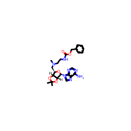 CN(CCNC(=O)OCc1ccccc1)C[C@H]1O[C@@H](n2cnc3c(N)ncnc32)[C@@H]2OC(C)(C)O[C@@H]21